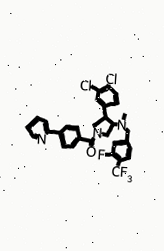 CN(Cc1ccc(C(F)(F)F)c(F)c1)C1CN(C(=O)c2ccc(-c3ccccn3)cc2)CC1c1ccc(Cl)c(Cl)c1